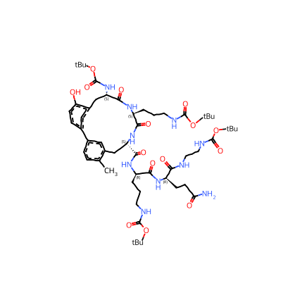 Cc1ccc2cc1C[C@@H](C(=O)N[C@H](CCCNC(=O)OC(C)(C)C)C(=O)N[C@H](CCC(N)=O)C(=O)NCCNC(=O)OC(C)(C)C)NC(=O)[C@H](CCCNC(=O)OC(C)(C)C)NC(=O)[C@@H](NC(=O)OC(C)(C)C)Cc1cc-2ccc1O